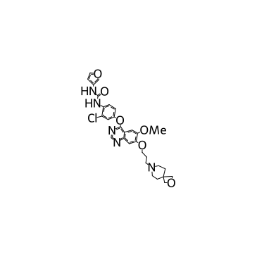 COc1cc2c(Oc3ccc(NC(=O)Nc4ccoc4)c(Cl)c3)ncnc2cc1OCCCN1CCC2(CC1)COC2